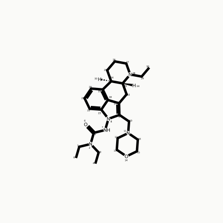 CCN(CC)C(=O)Nn1c(CN2CCOCC2)c2c3c(cccc31)[C@H]1CCCN(CC)[C@@H]1C2